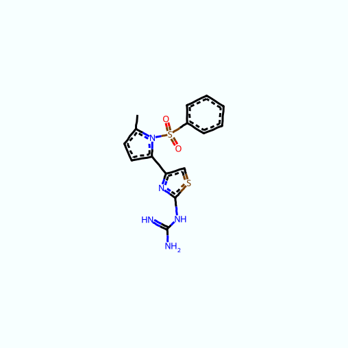 Cc1ccc(-c2csc(NC(=N)N)n2)n1S(=O)(=O)c1ccccc1